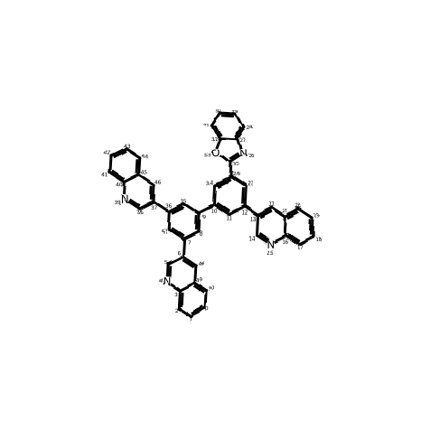 c1ccc2ncc(-c3cc(-c4cc(-c5cnc6ccccc6c5)cc(-c5nc6ccccc6o5)c4)cc(-c4cnc5ccccc5c4)c3)cc2c1